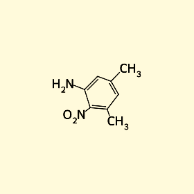 Cc1cc(C)c([N+](=O)[O-])c(N)c1